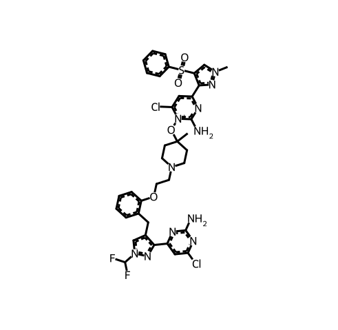 Cn1cc(S(=O)(=O)c2ccccc2)c(-c2cc(Cl)[n+](OC3(C)CCN(CCOc4ccccc4Cc4cn(C(F)F)nc4-c4cc(Cl)nc(N)n4)CC3)c(N)n2)n1